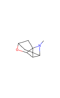 CN1C2CC3CC14C(O3)C24